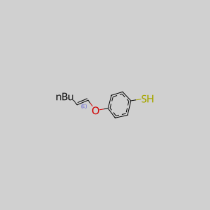 CCCC/C=C/Oc1ccc(S)cc1